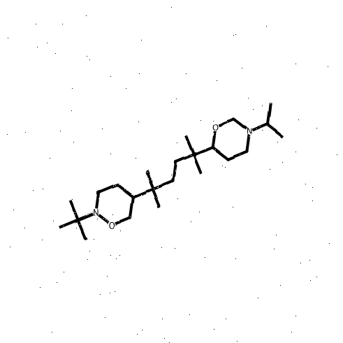 CC(C)N1CCC(C(C)(C)CCC(C)(C)C2CCN(C(C)(C)C)OC2)OC1